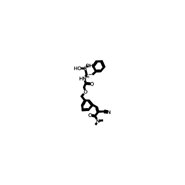 CN(C)C(=O)C(C#N)=Cc1cccc(COCC(=O)N[C@@H](Cc2ccccc2)B(O)O)c1